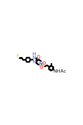 CC(=O)Nc1ccc(CCS(=O)(=O)N2CCC3(CC2)N=C(C2CCC(C/C=C/F)CC2)NC3=O)c(C)c1